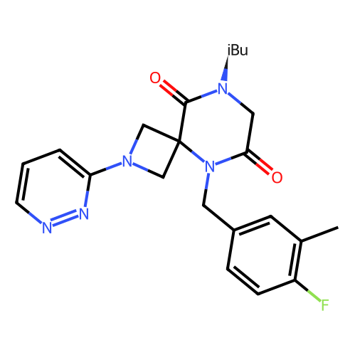 CC[C@H](C)N1CC(=O)N(Cc2ccc(F)c(C)c2)C2(CN(c3cccnn3)C2)C1=O